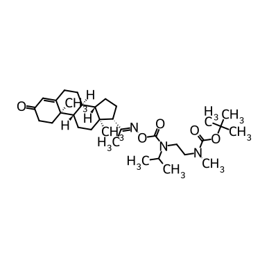 C/C(=N\OC(=O)N(CCN(C)C(=O)OC(C)(C)C)C(C)C)[C@H]1CC[C@H]2[C@@H]3CCC4=CC(=O)CC[C@]4(C)[C@H]3CC[C@]12C